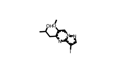 COc1cn2ncc(I)c2nc1CC(C)O